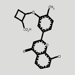 Cc1ccc(-c2cc(=O)c3cccc(Cl)c3o2)cc1OC1CCC1C(=O)O